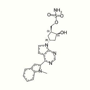 Cn1c(-c2ncnc3c2ccn3[C@@H]2C[C@@H](COS(N)(=O)=O)[C@@H](O)C2)cc2ccccc21